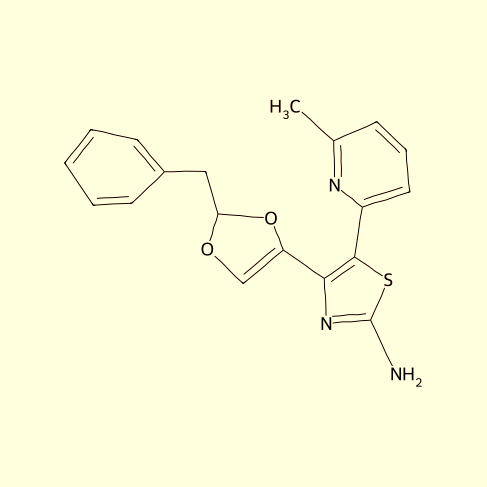 Cc1cccc(-c2sc(N)nc2C2=COC(Cc3ccccc3)O2)n1